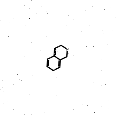 C1=CC2=CC[N]CC2=CC1